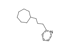 c1ccc(CCCC2CCCCCC2)nc1